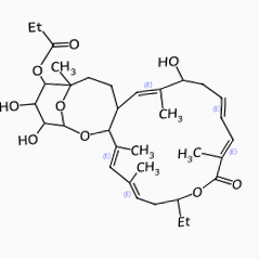 CCC(=O)OC1C(O)C(O)C2OC3/C(C)=C/C(C)=C/CC(CC)OC(=O)/C(C)=C/C=C/CC(O)/C(C)=C/C3CCC1(C)O2